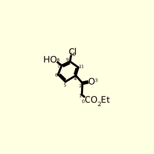 CCOC(=O)CC(=O)c1ccc(O)c(Cl)c1